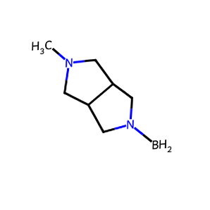 BN1CC2CN(C)CC2C1